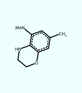 CNc1cc(C)cc2c1NCCO2